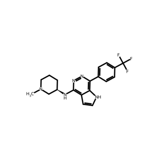 CN1CCC[C@@H](Nc2nnc(-c3ccc(C(F)(F)F)cc3)c3[nH]ccc23)C1